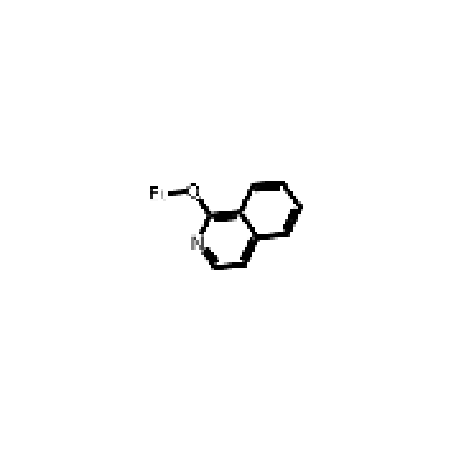 CCOc1nccc2[c]cccc12